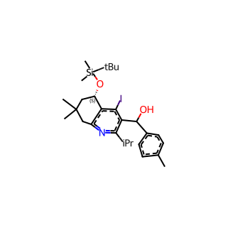 Cc1ccc(C(O)c2c(C(C)C)nc3c(c2I)[C@@H](O[Si](C)(C)C(C)(C)C)CC(C)(C)C3)cc1